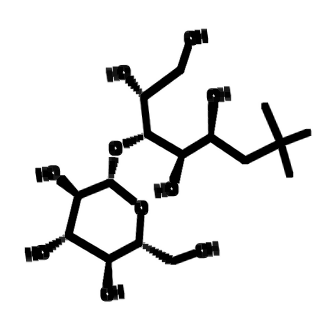 CC(C)(C)C[C@H](O)[C@@H](O)[C@H](O[C@@H]1O[C@H](CO)[C@@H](O)[C@H](O)[C@H]1O)[C@H](O)CO